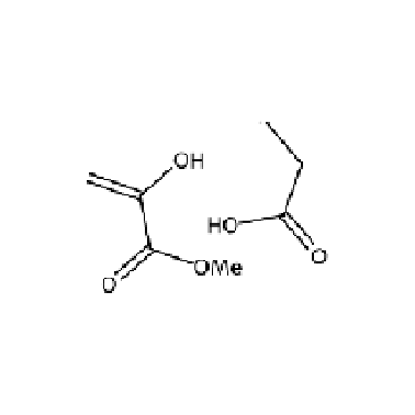 C=C(O)C(=O)OC.[CH2]CC(=O)O